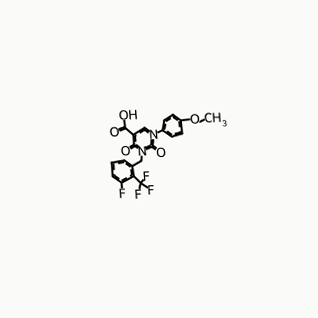 CCOc1ccc(-n2cc(C(=O)O)c(=O)n(Cc3cccc(F)c3C(F)(F)F)c2=O)cc1